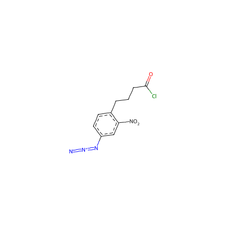 [N-]=[N+]=Nc1ccc(CCCC(=O)Cl)c([N+](=O)[O-])c1